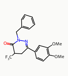 COc1ccc(C2=NN(Cc3ccccc3)C(=O)C(C(F)(F)F)C2)cc1OC